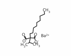 CCCCCCCCCC(C(=O)[O-])(C(=O)[O-])C(C)C.[Ba+2]